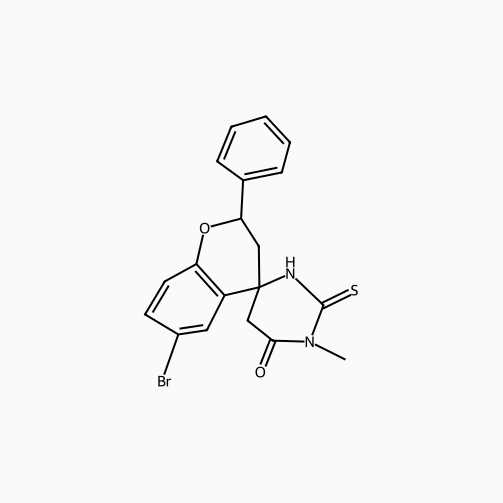 CN1C(=O)CC2(CC(c3ccccc3)Oc3ccc(Br)cc32)NC1=S